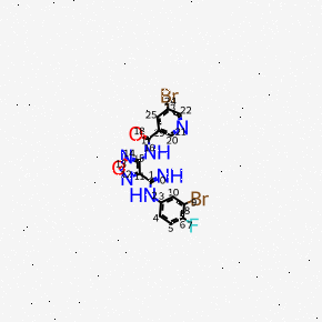 N=C(Nc1ccc(F)c(Br)c1)c1nonc1NC(=O)c1cncc(Br)c1